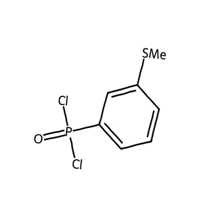 CSc1cccc(P(=O)(Cl)Cl)c1